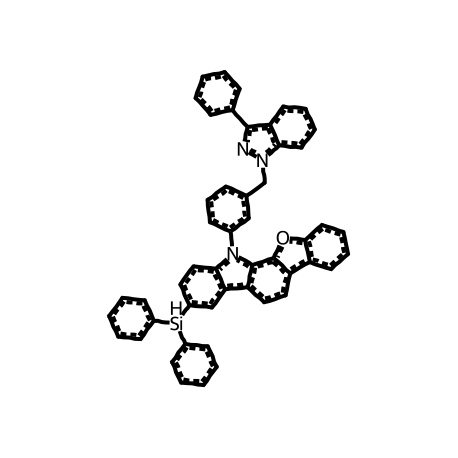 c1ccc(-c2nn(Cc3cccc(-n4c5ccc([SiH](c6ccccc6)c6ccccc6)cc5c5ccc6c7ccccc7oc6c54)c3)c3ccccc23)cc1